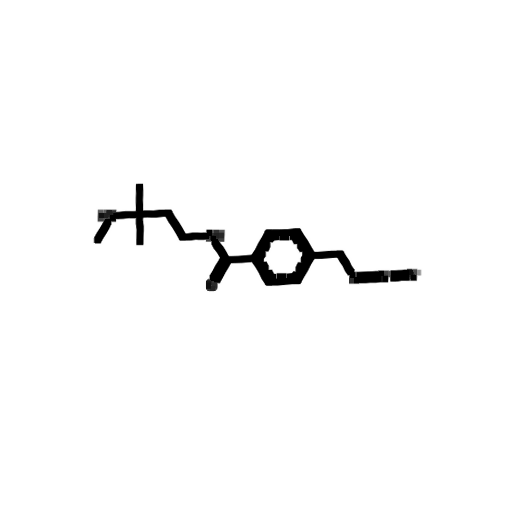 CNC(C)(C)CCNC(=O)c1ccc(CN=[N+]=[N-])cc1